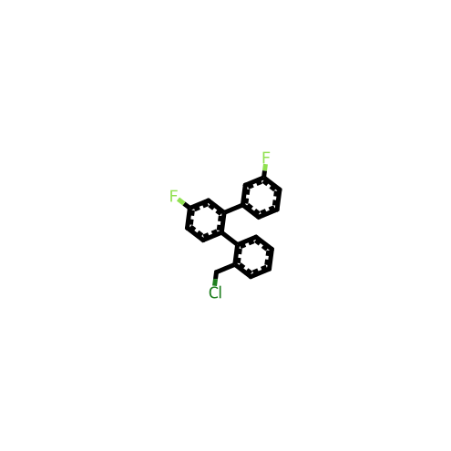 Fc1cccc(-c2cc(F)ccc2-c2ccccc2CCl)c1